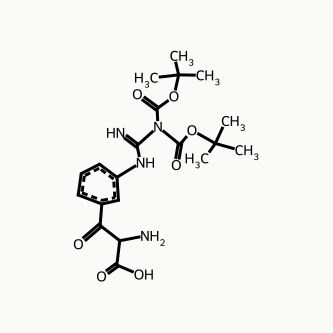 CC(C)(C)OC(=O)N(C(=N)Nc1cccc(C(=O)C(N)C(=O)O)c1)C(=O)OC(C)(C)C